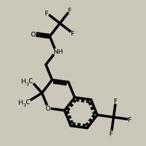 CC1(C)Oc2ccc(C(F)(F)F)cc2C=C1CNC(=O)C(F)(F)F